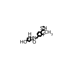 Cc1ncsc1-c1ccc(CNC(=O)[C@@H]2C[C@@H](O)CN2)cc1F